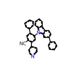 N#Cc1cc(-c2ccccc2)c(-n2c3ccccc3c3ccc(-c4ccccc4)cc32)cc1-c1ccncc1